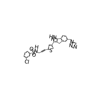 O=S(=O)(NCC#Cc1cc(-c2n[nH]c3c2Cc2cc(Cn4cncn4)ccc2-3)cs1)c1cccc(Cl)c1